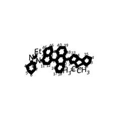 CCc1nc2ccccc2n1-c1ccc(-c2c3ccccc3c(-c3ccc4c(c3)C(C)(C)c3ccccc3-4)c3ccccc23)c2ccccc12